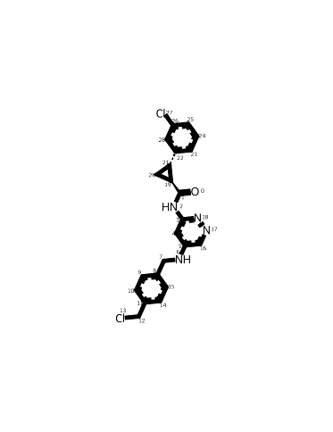 O=C(Nc1cc(NCc2ccc(CCl)cc2)cnn1)[C@H]1C[C@@H]1c1cccc(Cl)c1